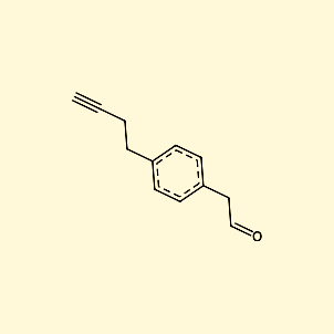 C#CCCc1ccc(CC=O)cc1